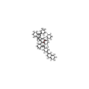 c1ccc(-c2ccc(N(c3ccc(-c4ccc5ccccc5c4)cc3)c3ccccc3-c3cccc4c3oc3c5ccccc5n(-c5ccccc5)c43)cc2)cc1